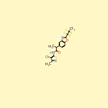 Cc1nsc(NC(=O)C(C)c2ccc3oc(C(F)(F)C(F)(F)C(F)(F)F)nc3c2)c1Cl